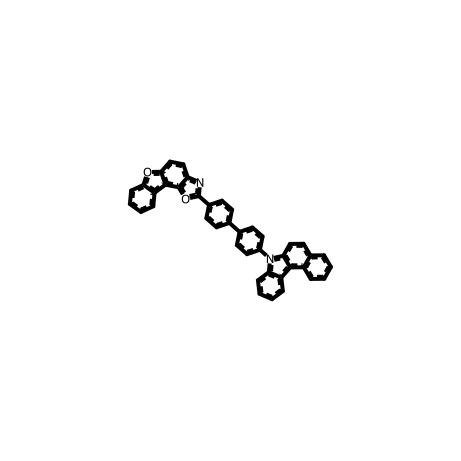 c1ccc2c(c1)ccc1c2c2ccccc2n1-c1ccc(-c2ccc(-c3nc4ccc5oc6ccccc6c5c4o3)cc2)cc1